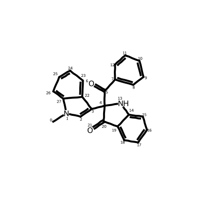 Cn1cc(C2(C(=O)c3ccccc3)Nc3ccccc3C2=O)c2ccccc21